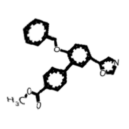 COC(=O)c1ccc(-c2cc(-c3cnco3)ccc2OCc2ccccc2)cc1